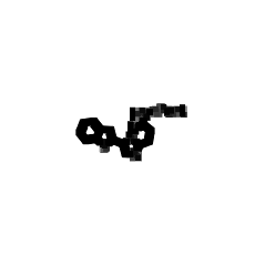 CCCCCNc1ccc2ncc(-c3cc4ccccc4s3)n2n1